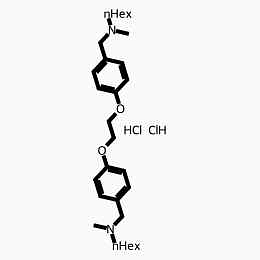 CCCCCCN(C)Cc1ccc(OCCOc2ccc(CN(C)CCCCCC)cc2)cc1.Cl.Cl